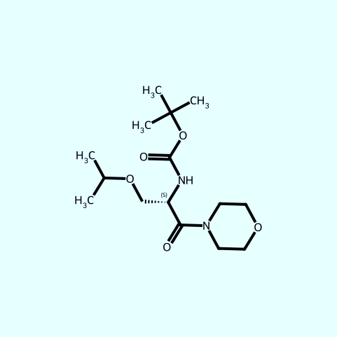 CC(C)OC[C@H](NC(=O)OC(C)(C)C)C(=O)N1CCOCC1